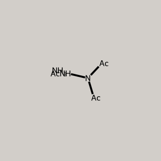 CC(=O)NN(C(C)=O)C(C)=O.N